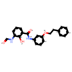 O=CNc1cccc(C(=O)Nc2cccc(OCCc3ccccc3)c2)c1O